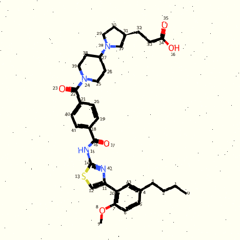 CCCCc1ccc(OC)c(-c2csc(NC(=O)c3ccc(C(=O)N4CCC(N5CC[C@@H](CCC(=O)O)C5)CC4)cc3)n2)c1